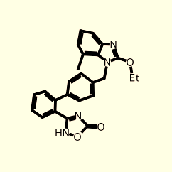 CCOc1nc2cccc(C)c2n1Cc1ccc(-c2ccccc2-c2nc(=O)o[nH]2)cc1